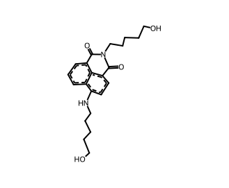 O=C1c2cccc3c(NCCCCCO)ccc(c23)C(=O)N1CCCCCO